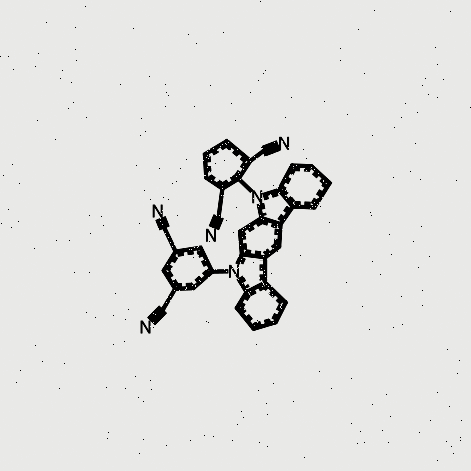 N#Cc1cc(C#N)cc(-n2c3ccccc3c3cc4c5ccccc5n(-c5c(C#N)cccc5C#N)c4cc32)c1